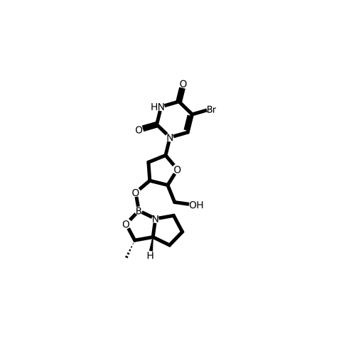 C[C@@H]1OB(OC2CC(n3cc(Br)c(=O)[nH]c3=O)OC2CO)N2CCC[C@H]12